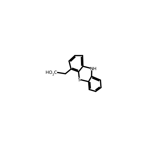 O=C(O)Cc1cccc2c1Sc1ccccc1N2